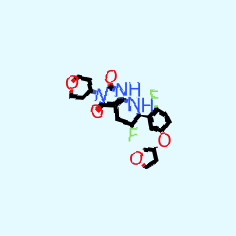 O=c1[nH]c2c(c(=O)n1C1CCOCC1)C[C@H](F)[C@H](c1cc(O[C@@H]3CCOC3)ccc1F)N2